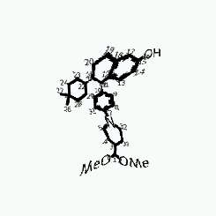 COC(OC)C1CCN(c2ccc([C@@H]3c4ccc(O)cc4CC[C@@H]3C3CCC(C)(C)CC3)cc2)CC1